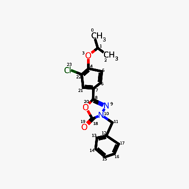 CC(C)Oc1ccc(-c2nn(Cc3ccccc3)c(=O)o2)cc1Cl